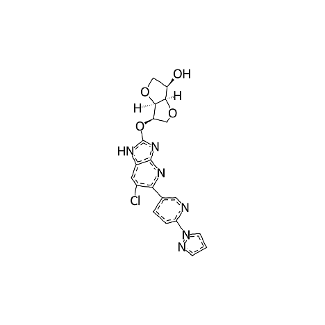 O[C@@H]1CO[C@H]2[C@@H]1OC[C@H]2Oc1nc2nc(-c3ccc(-n4cccn4)nc3)c(Cl)cc2[nH]1